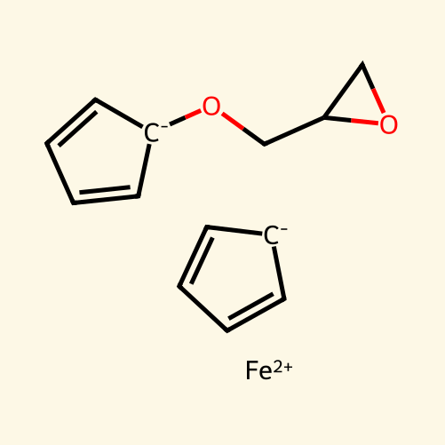 [Fe+2].c1cc[c-](OCC2CO2)c1.c1cc[cH-]c1